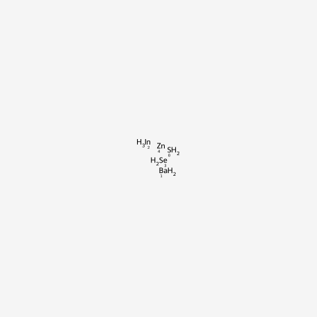 S.[BaH2].[InH3].[SeH2].[Zn]